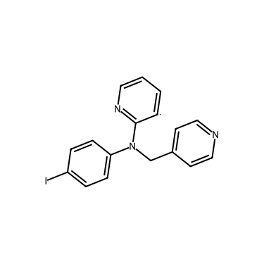 Ic1ccc(N(Cc2ccncc2)c2[c]cccn2)cc1